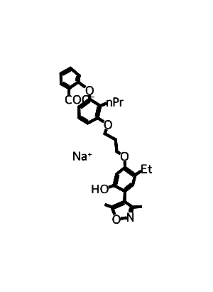 CCCc1c(OCCCOc2cc(O)c(-c3c(C)noc3C)cc2CC)cccc1Oc1ccccc1C(=O)[O-].[Na+]